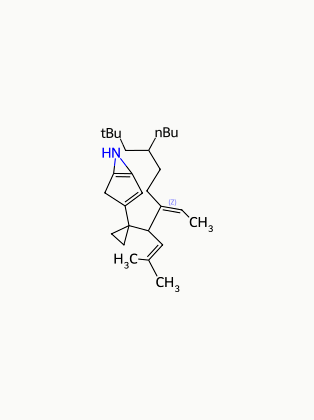 C/C=C(/CCC(CCCC)CC(C)(C)C)C(C=C(C)C)C1(C2=CC3=C(C2)N3)CC1